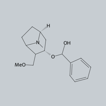 COCC1C2CC[C@@H](C[C@@H]1OC(O)c1ccccc1)N2C